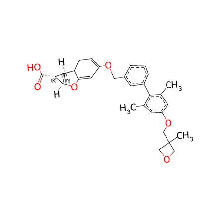 Cc1cc(OCC2(C)COC2)cc(C)c1-c1cccc(COC2=CCC3C(=C2)O[C@H]2[C@H](C(=O)O)[C@@H]32)c1